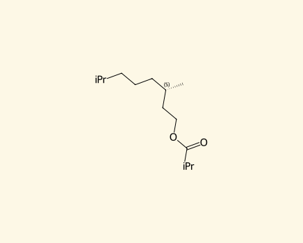 CC(C)CCC[C@H](C)CCOC(=O)C(C)C